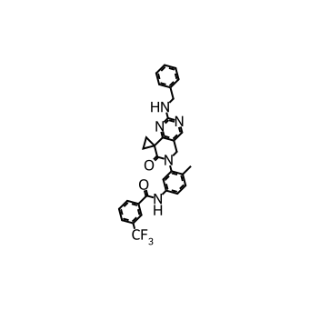 Cc1ccc(NC(=O)c2cccc(C(F)(F)F)c2)cc1N1Cc2cnc(NCc3ccccc3)nc2C2(CC2)C1=O